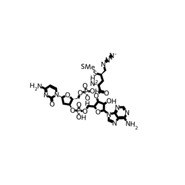 CSS[C@@H](CN=[N+]=[N-])C[C@@H](N)C(=O)OC1C(COP(=O)(O)O[C@H]2C[C@H](n3ccc(N)nc3=O)O[C@@H]2COP(=O)(O)O)OC(n2cnc3c(N)ncnc32)C1O